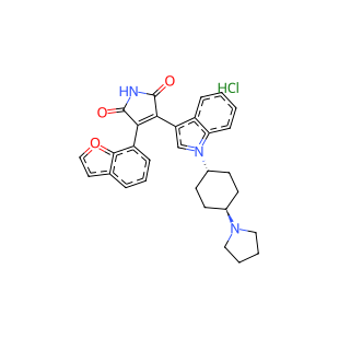 Cl.O=C1NC(=O)C(c2cccc3ccoc23)=C1c1cn([C@H]2CC[C@H](N3CCCC3)CC2)c2ccccc12